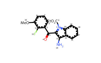 CCOC(=O)n1c(C(=O)c2cccc(OC)c2F)c(N)c2ccccc21